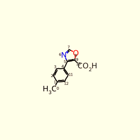 Cc1ccc(-c2ncoc2C(=O)O)cc1